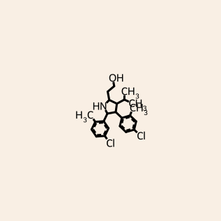 Cc1ccc(Cl)cc1C1NC(CCO)C(C(C)C)C1c1ccc(Cl)cc1C